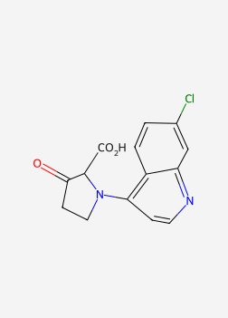 O=C(O)C1C(=O)CCN1c1ccnc2cc(Cl)ccc12